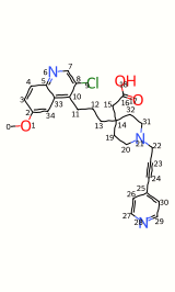 COc1ccc2ncc(Cl)c(CCCC3(CC(=O)O)CCN(CC#Cc4ccncc4)CC3)c2c1